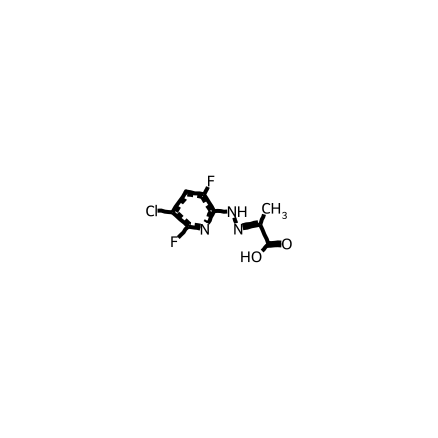 C/C(=N\Nc1nc(F)c(Cl)cc1F)C(=O)O